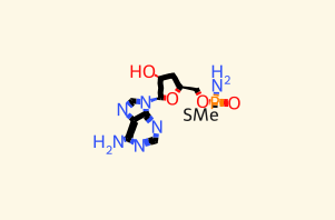 CSP(N)(=O)OC[C@@H]1C[C@@H](O)[C@H](n2cnc3c(N)ncnc32)O1